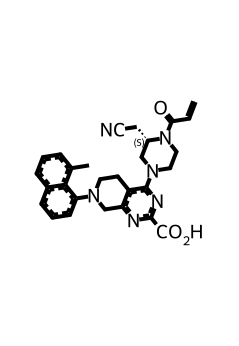 C=CC(=O)N1CCN(c2nc(C(=O)O)nc3c2CCN(c2cccc4cccc(C)c24)C3)C[C@@H]1CC#N